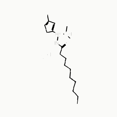 CCCCCCCCCC(=O)[NH][Hf+2]([C]1=CC(C)=CC1)[SiH](C)C.[Cl-].[Cl-]